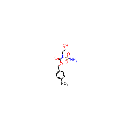 NS(=O)(=O)N(CCO)C(=O)OCc1ccc([N+](=O)[O-])cc1